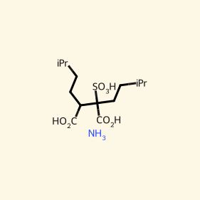 CC(C)CCC(C(=O)O)C(CCC(C)C)(C(=O)O)S(=O)(=O)O.N